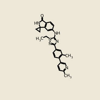 CCn1nc(-c2ccc(-c3ccc(C)nc3)c(C)c2)nc1Nc1ccc2c(c1)C1(CC1)NC2=O